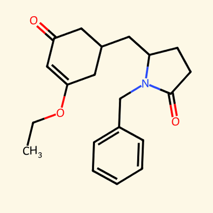 CCOC1=CC(=O)CC(CC2CCC(=O)N2Cc2ccccc2)C1